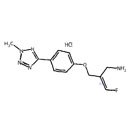 Cl.Cn1nnc(-c2ccc(OC/C(=C/F)CN)cc2)n1